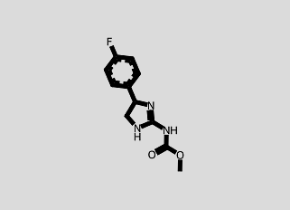 COC(=O)NC1=NC(c2ccc(F)cc2)CN1